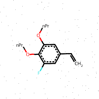 C=Cc1cc(F)c(OCCC)c(OCCC)c1